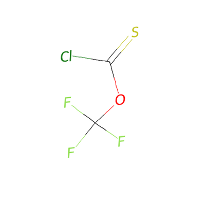 FC(F)(F)OC(=S)Cl